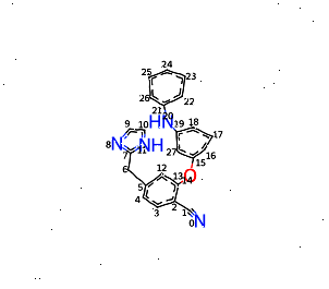 N#Cc1ccc(Cc2ncc[nH]2)cc1Oc1cccc(Nc2ccccc2)c1